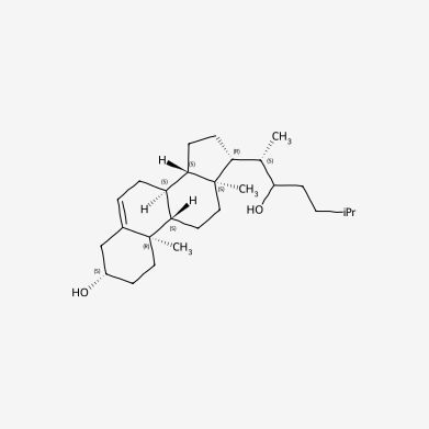 CC(C)CCC(O)[C@@H](C)[C@H]1CC[C@H]2[C@@H]3CC=C4C[C@@H](O)CC[C@]4(C)[C@H]3CC[C@]12C